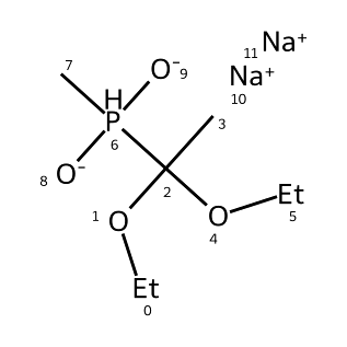 CCOC(C)(OCC)[PH](C)([O-])[O-].[Na+].[Na+]